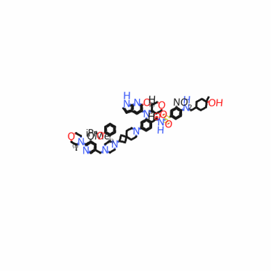 COc1cc(CN2CCN(C3CC4(CCN(c5ccc(C(=O)NS(=O)(=O)c6ccc(NCC7CCC(C)(O)CC7)c([N+](=O)[O-])c6)c(N6c7cc8cc[nH]c8nc7O[C@H]7COCC[C@@H]76)c5)CC4)C3)[C@@H](c3ccccc3OC(C)C)C2)cnc1N1CCOC[C@@H]1C